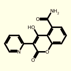 NC(=O)c1cccc2oc(=O)c(-c3ccccn3)c(O)c12